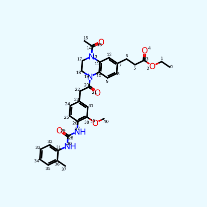 CCOC(=O)CCc1ccc2c(c1)N(C(C)=O)CCN2C(=O)Cc1ccc(NC(=O)Nc2ccccc2C)c(OC)c1